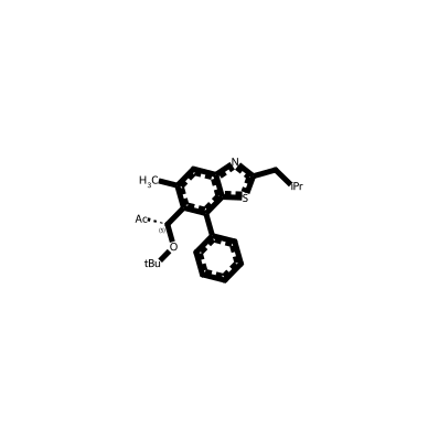 CC(=O)[C@@H](OC(C)(C)C)c1c(C)cc2nc(CC(C)C)sc2c1-c1ccccc1